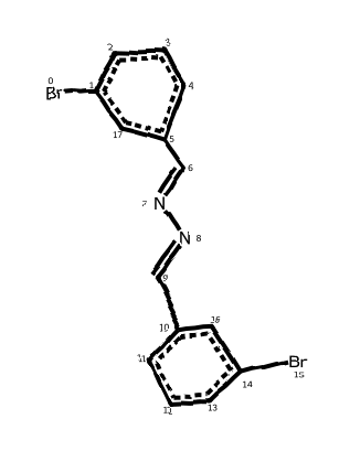 Brc1cccc(/C=N/N=C/c2cccc(Br)c2)c1